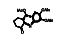 COc1cc2nc3c(c(OC)c2cc1OC)CCCC3=O